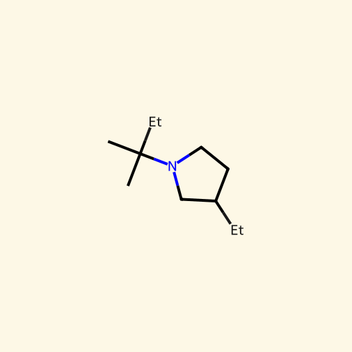 CCC1CCN(C(C)(C)CC)C1